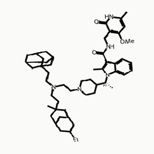 CCC1CC2CC(C1)CC(C)(CCN(CCN1CCC([C@@H](C)n3c(C)c(C(=O)NCc4c(OC)cc(C)[nH]c4=O)c4ccccc43)CC1)CCC13CC4CC(CC(C4)C1)C3)C2